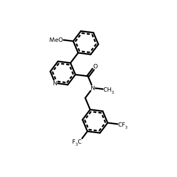 COc1ccccc1-c1ccncc1C(=O)N(C)Cc1cc(C(F)(F)F)cc(C(F)(F)F)c1